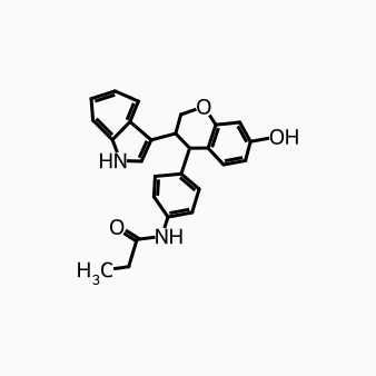 CCC(=O)Nc1ccc(C2c3ccc(O)cc3OCC2c2c[nH]c3ccccc23)cc1